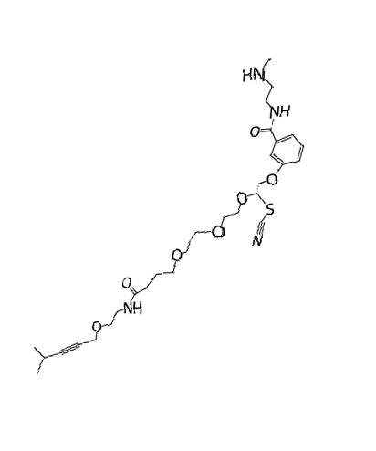 CNCCNC(=O)c1cccc(OC[C@@H](OCCOCCOCCCC(=O)NCCOCC#CC(C)C)SC#N)c1